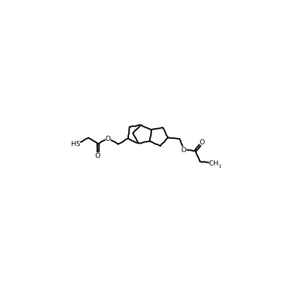 CCC(=O)OCC1CC2C3CC(COC(=O)CS)C(C3)C2C1